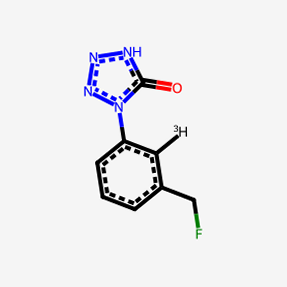 [3H]c1c(CF)cccc1-n1nn[nH]c1=O